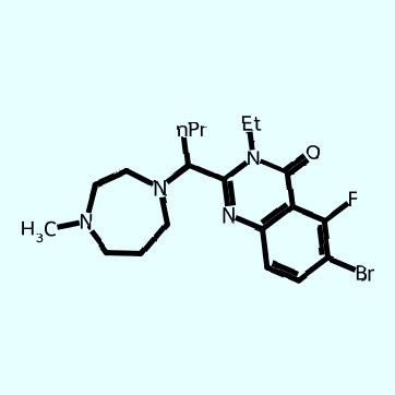 CCCC(c1nc2ccc(Br)c(F)c2c(=O)n1CC)N1CCCN(C)CC1